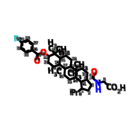 CC(C)C1CC[C@]2(C(=O)NCC(=O)O)CC[C@]3(C)C(CCC4[C@@]5(C)CC[C@@H](OC(=O)c6ccc(F)cc6)C(C)(C)[C@H]5CC[C@]43C)C12